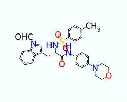 Cc1ccc(S(=O)(=O)N[C@@H](Cc2cn(C=O)c3ccccc23)C(=O)Nc2ccc(N3CCOCC3)cc2)cc1